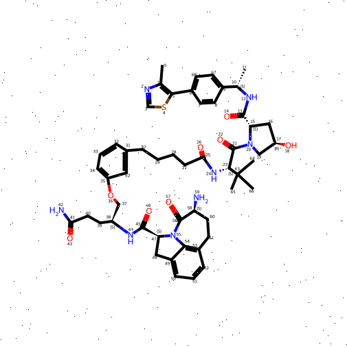 Cc1ncsc1-c1ccc([C@H](C)NC(=O)[C@@H]2C[C@@H](O)CN2C(=O)[C@@H](NC(=O)CCCCc2cccc(OC[C@H](CCC(N)=O)NC(=O)[C@@H]3Cc4cccc5c4N3C(=O)[C@@H](N)CC5)c2)C(C)(C)C)cc1